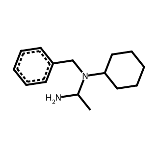 CC(N)N(Cc1ccccc1)C1CCCCC1